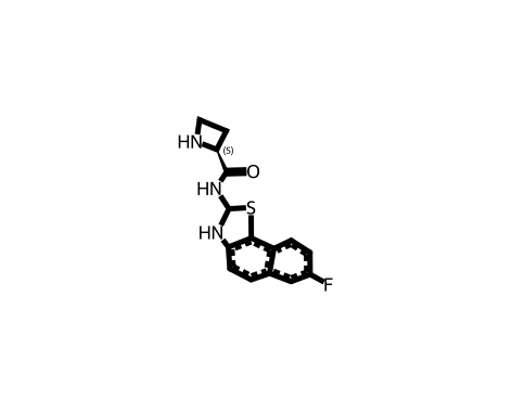 O=C(NC1Nc2ccc3cc(F)ccc3c2S1)[C@@H]1CCN1